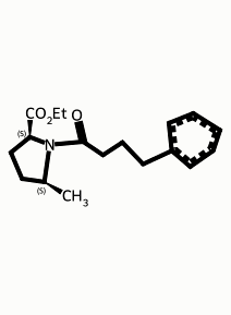 CCOC(=O)[C@@H]1CC[C@H](C)N1C(=O)CCCc1ccccc1